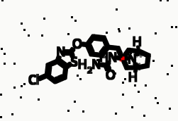 NC(=O)NC1C[C@H]2CC[C@@H](C1)N2CCc1ccc(Oc2nc3cc(Cl)ccc3s2)cc1